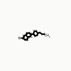 CCCCC1CC=C(c2ccc3cc(Br)ccc3c2)CC1